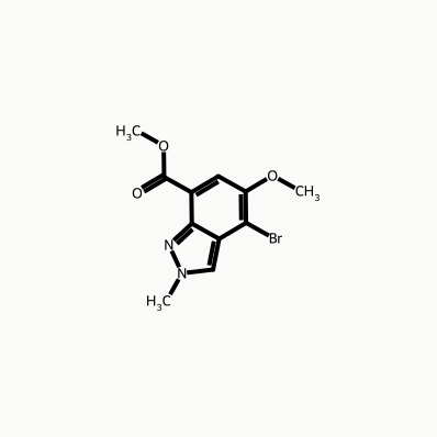 COC(=O)c1cc(OC)c(Br)c2cn(C)nc12